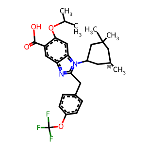 CC(C)Oc1cc2c(cc1C(=O)O)nc(Cc1ccc(OC(F)(F)F)cc1)n2C1C[C@H](C)CC(C)(C)C1